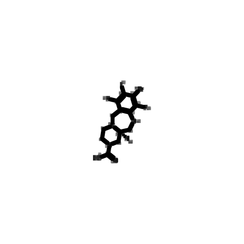 O=C(O)N1CCN2Cc3c(F)c(I)c(Br)c(F)c3OC[C@H]2C1